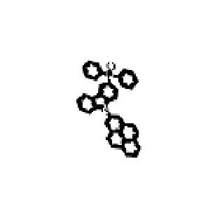 O=P(c1ccccc1)(c1ccccc1)c1ccc2c(c1)c1ccccc1n2-c1cc2ccc3cccc4ccc(c1)c2c34